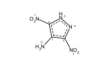 Nc1c([N+](=O)[O-])n[nH]c1[N+](=O)[O-]